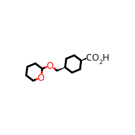 O=C(O)[C@H]1CC[C@@H](COC2CCCCO2)CC1